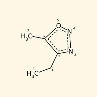 C[CH]c1nnoc1C